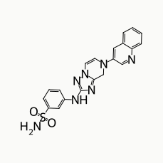 NS(=O)(=O)c1cccc(Nc2nc3n(n2)C=CN(c2cnc4ccccc4c2)C3)c1